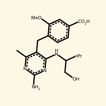 CCCC(CO)Nc1nc(N)nc(C)c1Cc1ccc(C(=O)O)cc1OC